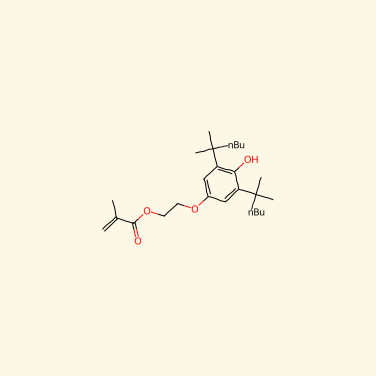 C=C(C)C(=O)OCCOc1cc(C(C)(C)CCCC)c(O)c(C(C)(C)CCCC)c1